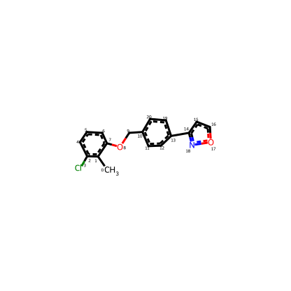 Cc1c(Cl)cccc1OCc1ccc(-c2ccon2)cc1